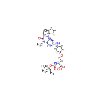 CC[C@@H]1C(=O)N(C)c2cnc(Nc3ccc(OCCC(NC(=O)OC(C)(C)C)C(=O)O)cc3)nc2N1C1CCCC1